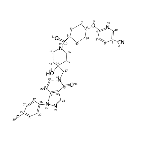 N#Cc1ccc(O[C@H]2CC[C@H](C(=O)N3CCC(O)(Cn4cnc5c(cnn5-c5ccc(F)cc5)c4=O)CC3)CC2)nc1